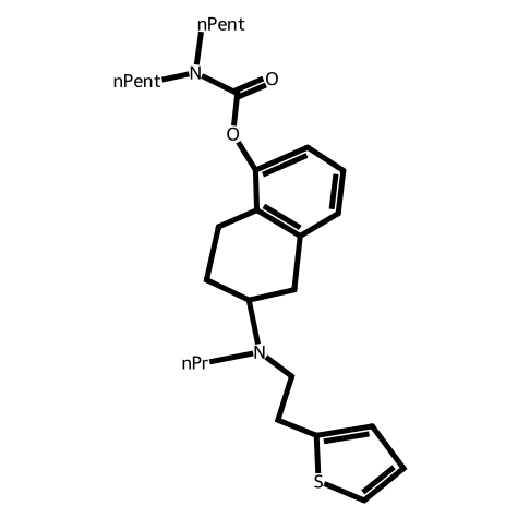 CCCCCN(CCCCC)C(=O)Oc1cccc2c1CCC(N(CCC)CCc1cccs1)C2